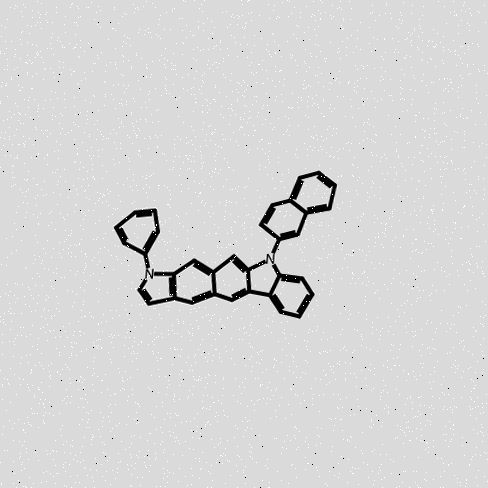 c1ccc(-n2ccc3cc4cc5c6ccccc6n(-c6ccc7ccccc7c6)c5cc4cc32)cc1